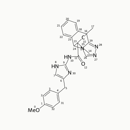 COc1ccc(Cc2c[nH]c(NC(=O)C3(C)CC4(C)c5ccccc5C3n3cnnc34)n2)cc1